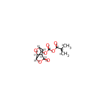 C=C(C)C(=O)OC(=O)OC1C2CC3C(=O)OC1C3O2